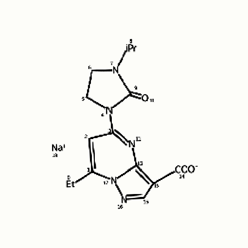 CCc1cc(N2CCN(C(C)C)C2=O)nc2c(C(=O)[O-])cnn12.[Na+]